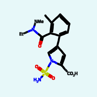 CCN(NC)C(=O)c1c(C)cccc1-c1cc(C(=O)O)n(S(N)(=O)=O)c1